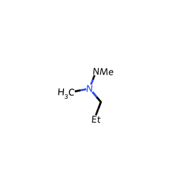 [CH2]NN(C)CCC